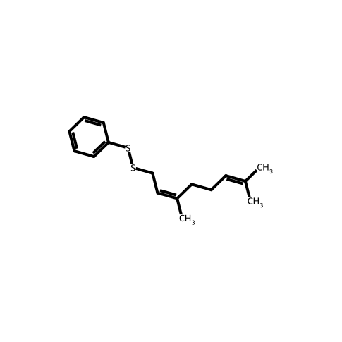 CC(C)=CCCC(C)=CCSSc1ccccc1